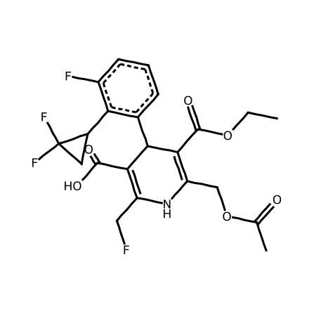 CCOC(=O)C1=C(COC(C)=O)NC(CF)=C(C(=O)O)C1c1cccc(F)c1C1CC1(F)F